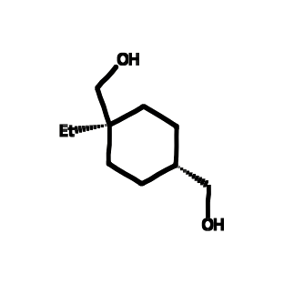 CC[C@]1(CO)CC[C@H](CO)CC1